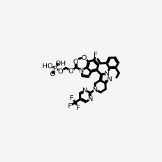 CCc1cccc(CC)c1-n1nc2c(c1-c1cc(F)c(OC)c3c1ccn3C(=O)OCOP(=O)(O)O)CN(c1ncc(C(F)(F)F)cn1)CC2